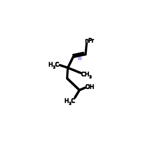 CCC/C=C/C(C)(C)CC(C)O